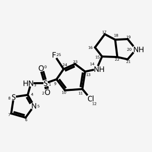 O=S(=O)(Nc1nccs1)c1cc(Cl)c(NC2CCC3CNCC32)cc1F